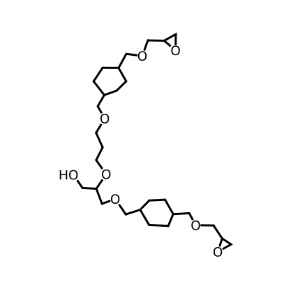 OCC(COCC1CCC(COCC2CO2)CC1)OCCCOCC1CCC(COCC2CO2)CC1